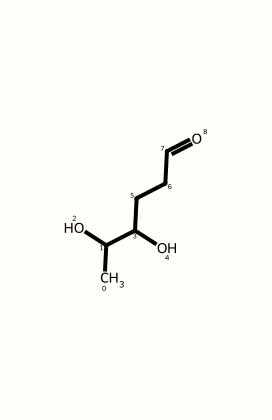 CC(O)C(O)CCC=O